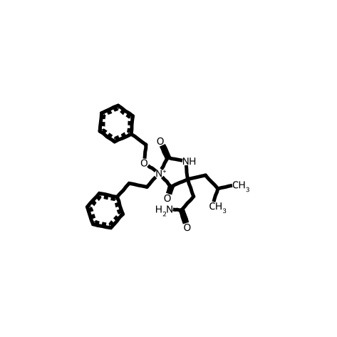 CC(C)CC1(CC(N)=O)NC(=O)[N+](CCc2ccccc2)(OCc2ccccc2)C1=O